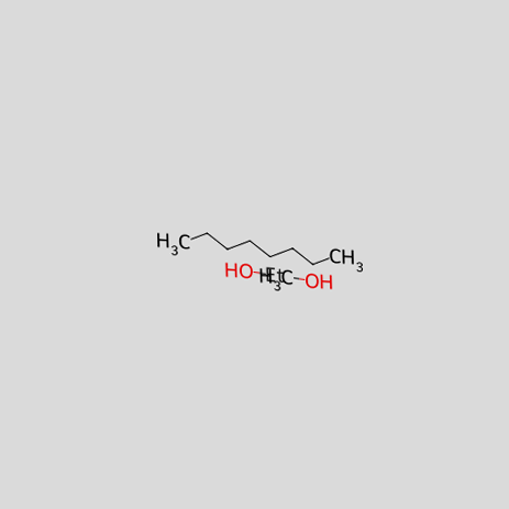 CCCCCCCC.CCO.CO